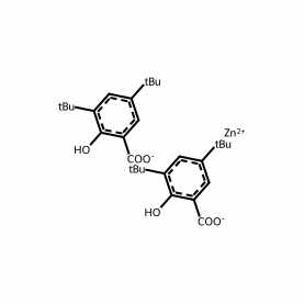 CC(C)(C)c1cc(C(=O)[O-])c(O)c(C(C)(C)C)c1.CC(C)(C)c1cc(C(=O)[O-])c(O)c(C(C)(C)C)c1.[Zn+2]